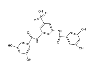 O=C(Nc1cc(NC(=O)c2cc(O)cc(O)c2)cc(S(=O)(=O)O)c1)c1cc(O)cc(O)c1